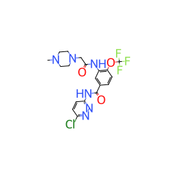 CN1CCN(CC(=O)Nc2cc(C(=O)Nc3ccc(Cl)nn3)ccc2OC(F)(F)F)CC1